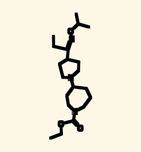 CCOC(=O)N1CCCC(N2CCC(/C(CC)=N/OC(C)C)CC2)CC1